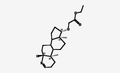 CCOC(=O)CO[C@H]1CCC2C3CC[C@H]4N=CCC[C@]4(C)C3CC[C@@]21C